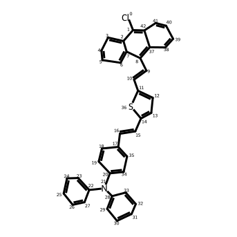 Clc1c2ccccc2c(C=Cc2ccc(C=Cc3ccc(N(c4ccccc4)c4ccccc4)cc3)s2)c2ccccc12